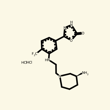 Cl.Cl.N[C@H]1CCCN(CCNc2cc(-c3n[nH]c(=O)o3)ccc2C(F)(F)F)C1